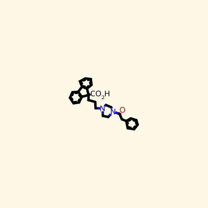 O=C(Cc1ccccc1)N1CCN(CCCC2(C(=O)O)c3ccccc3-c3ccccc32)CC1